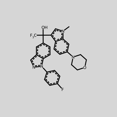 Cn1cc(C(O)(c2ccc3c(cnn3-c3ccc(F)cc3)c2)C(F)(F)F)c2ccc(N3CCOCC3)cc21